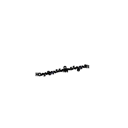 CCSCC/N=C/[S+]([O-])CCSCSCCSC(=O)NCCSCSCC/N=C/OOCCSCCO